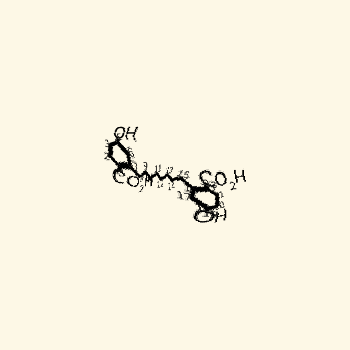 O=C(O)c1ccc(O)cc1CCCCCCCCc1cc(O)ccc1C(=O)O